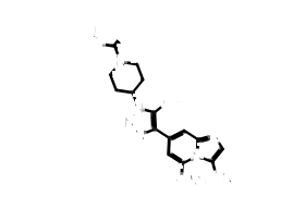 COc1cc(-c2nnn(C3CCN(C(=O)OC(C)(C)C)CC3)c2C)cc2ncc(C#N)n12